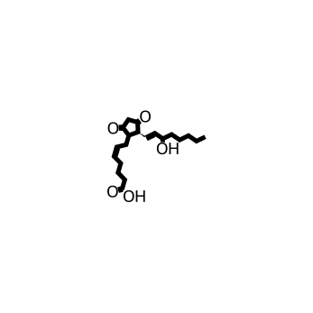 CCCCCC(O)/C=C/[C@H]1C(=O)CC(=O)C1C/C=C\CCCC(=O)O